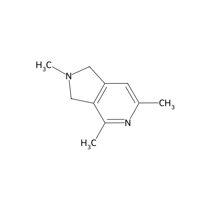 Cc1cc2c(c(C)n1)CN(C)C2